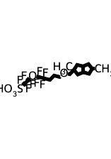 CC1CC2CC(C)(COCCCC(F)(F)C(F)(F)OC(F)(F)C(F)(F)S(=O)(=O)O)CC2C1